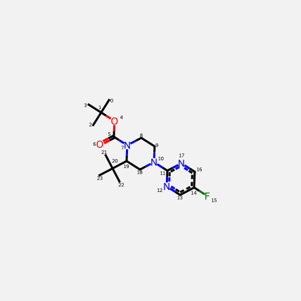 CC(C)(C)OC(=O)N1CCN(c2ncc(F)cn2)CC1C(C)(C)C